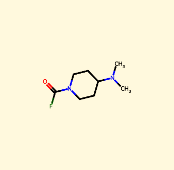 CN(C)C1CCN(C(=O)F)CC1